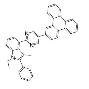 CCn1c(-c2ccccc2)c(C)c2c(-c3ncc(-c4ccc5c6ccccc6c6ccccc6c5c4)cn3)cccc21